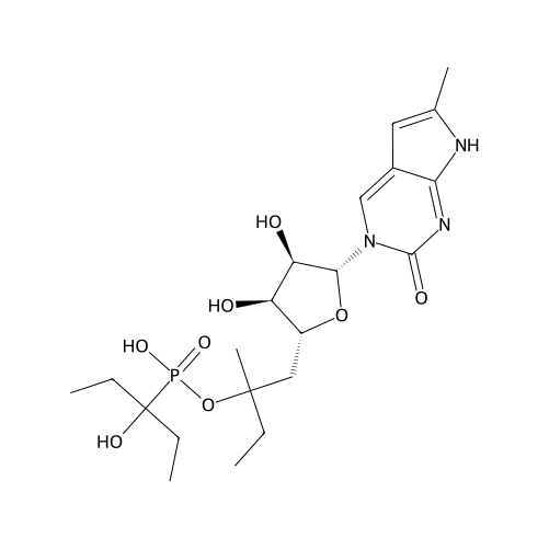 CCC(C)(C[C@H]1O[C@@H](n2cc3cc(C)[nH]c3nc2=O)[C@H](O)[C@@H]1O)OP(=O)(O)C(O)(CC)CC